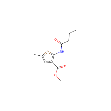 CCCC(=O)Nc1sc(C)cc1C(=O)OC